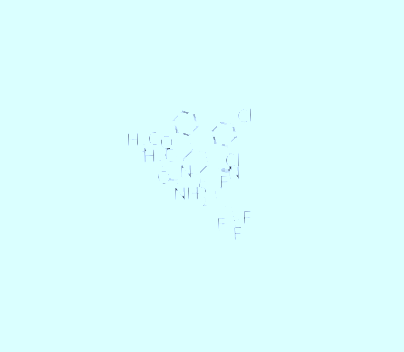 COc1ccccc1C1=C(C)N(C(N)=O)C(SC(F)CCC(F)(F)F)=C(C#N)C1c1ccc(Cl)cc1Cl